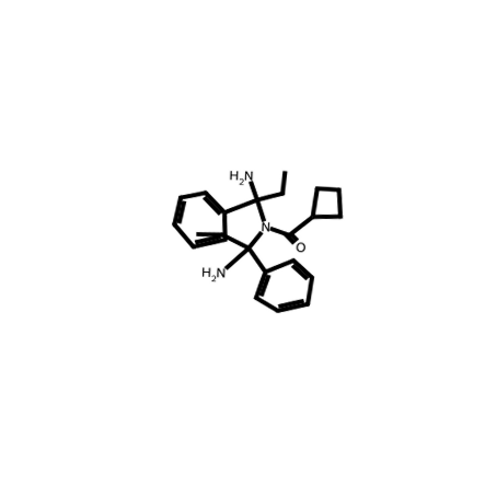 CCC(N)(c1ccccc1)N(C(=O)C1CCC1)C(N)(CC)c1ccccc1